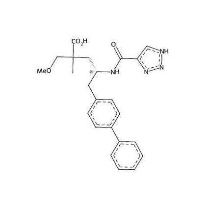 COCC(C)(C[C@@H](Cc1ccc(-c2ccccc2)cc1)NC(=O)c1c[nH]nn1)C(=O)O